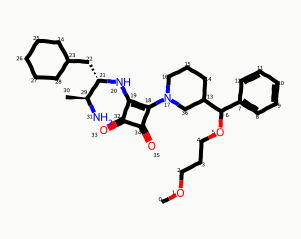 COCCCOC(c1ccccc1)C1CCCN(c2c(N[C@@H](CC3CCCCC3)[C@H](C)N)c(=O)c2=O)C1